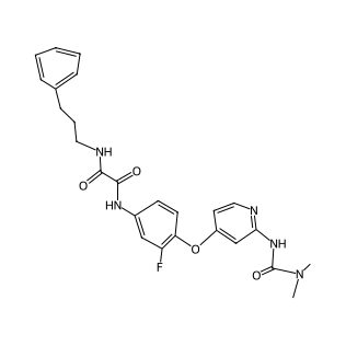 CN(C)C(=O)Nc1cc(Oc2ccc(NC(=O)C(=O)NCCCc3ccccc3)cc2F)ccn1